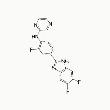 Fc1cc2nc(-c3ccc(Nc4cnccn4)c(F)c3)[nH]c2cc1F